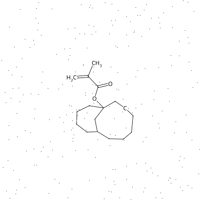 C=C(C)C(=O)OC12CCCCCCC(CCCC1)C2